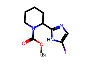 CC(C)(C)OC(=O)N1CCCCC1c1ncc(I)[nH]1